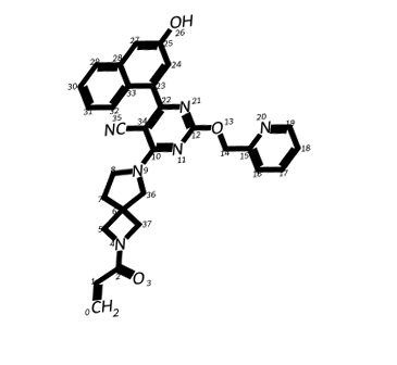 C=CC(=O)N1CC2(CCN(c3nc(OCc4ccccn4)nc(-c4cc(O)cc5ccccc45)c3C#N)C2)C1